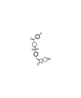 O=C(c1ccc(F)cc1)C1CCN(S(=O)(=O)c2ccc(CN3CC4(CCNCC4)OC3=O)cc2)CC1